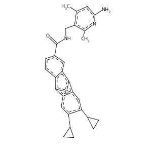 Cc1cc(N)nc(C)c1CNC(=O)c1ccc2c(c1)c1oc2c2cc(C3CC3)c(C3CC3)cc21